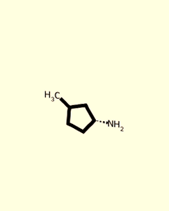 CC1CC[C@@H](N)C1